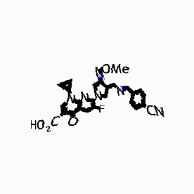 CO/N=C1/CN(c2nc3c(cc2F)c(=O)c(C(=O)O)cn3C2CC2)CC1C/N=C/c1ccc(C#N)cc1